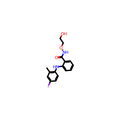 Cc1cc(I)ccc1Nc1ccccc1C(=O)NOCCO